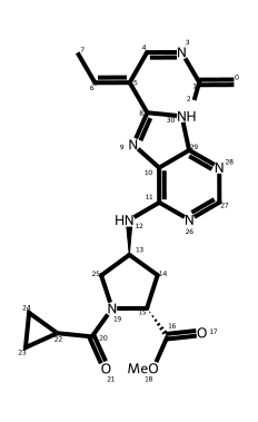 C=C(C)/N=C\C(=C/C)c1nc2c(N[C@H]3C[C@H](C(=O)OC)N(C(=O)C4CC4)C3)ncnc2[nH]1